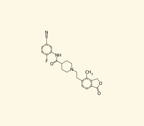 Cc1c(CCN2CCC(C(=O)Nc3cc(C#N)ccc3F)CC2)ccc2c1COC2=O